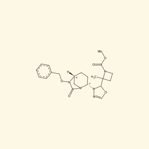 CC(C)(C)OC(=O)N1CCC1(C)C1OC=NN1[C@H]1CC[C@@H]2CN1C(=O)N2OCc1ccccc1